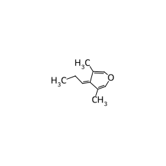 CCC=C1C(C)=COC=C1C